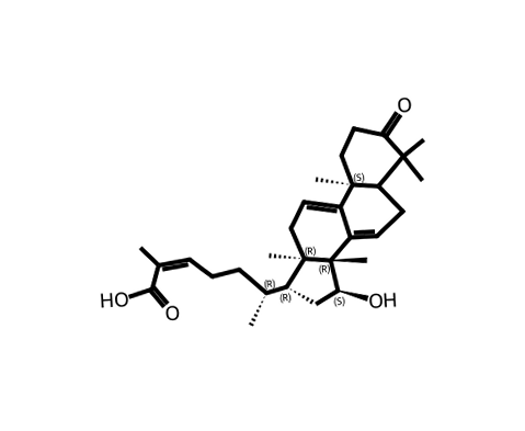 CC(=CCC[C@@H](C)[C@H]1C[C@H](O)[C@@]2(C)C3=CCC4C(C)(C)C(=O)CC[C@]4(C)C3=CC[C@]12C)C(=O)O